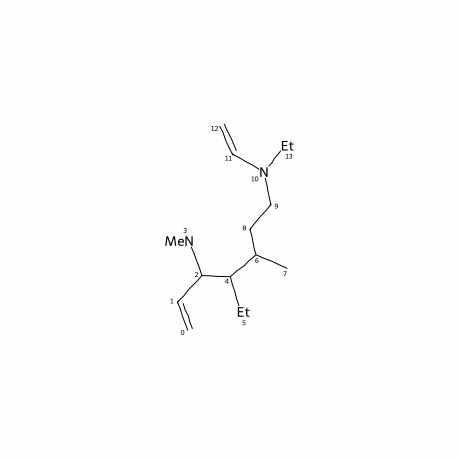 C=CC(NC)C(CC)C(C)CCN(C=C)CC